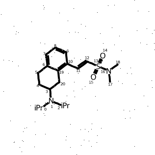 CC(C)N(C(C)C)C1CCc2cccc(C=CS(=O)(=O)N(C)C)c2C1